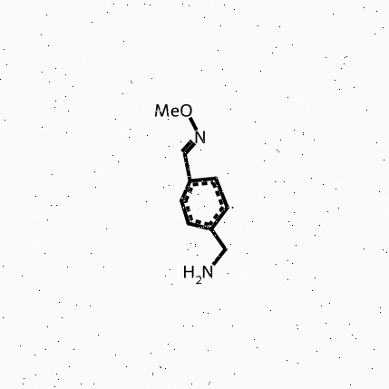 CON=Cc1c[c]c(CN)cc1